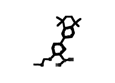 COCOc1ccc(-c2ccc3c(c2)C(C)(C)CCC3(C)C)cc1B(O)O